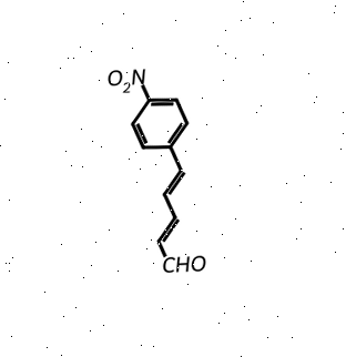 O=CC=CC=Cc1ccc([N+](=O)[O-])cc1